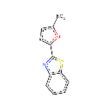 O=[N+]([O-])c1ccc(-c2nc3ccccc3s2)o1